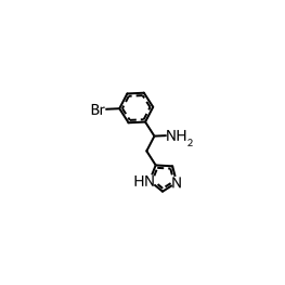 NC(Cc1cnc[nH]1)c1cccc(Br)c1